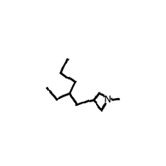 CCCC(CC)CC1CN(C)C1